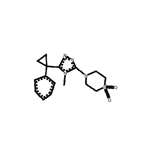 Cn1c(N2CCS(=O)(=O)CC2)nnc1C1(c2ccccc2)CC1